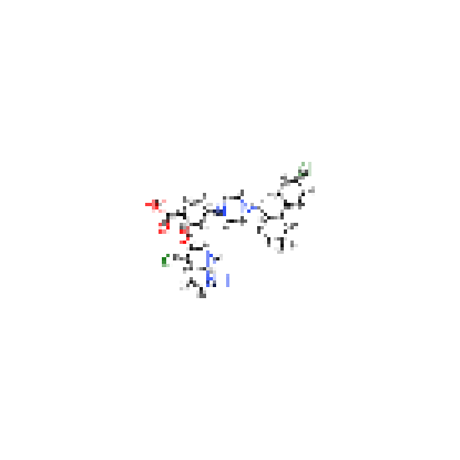 CC1(C)CCC(CN2CCN(c3ccc(C(=O)O)c(Oc4cnc5[nH]ccc5c4Cl)c3)CC2)=C(c2ccc(Cl)cc2)C1